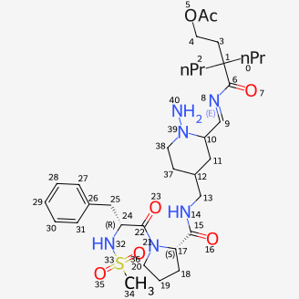 CCCC(CCC)(CCOC(C)=O)C(=O)/N=C/C1CC(CNC(=O)[C@@H]2CCCN2C(=O)[C@@H](Cc2ccccc2)NS(C)(=O)=O)CCN1N